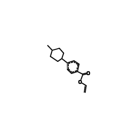 C=COC(=O)c1ccc(C2CCC(C)CC2)cc1